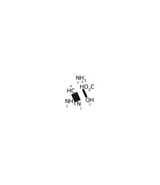 C#N.N.N.O=C(O)O